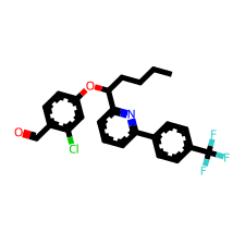 CCCCC(Oc1ccc(C=O)c(Cl)c1)c1cccc(-c2ccc(C(F)(F)F)cc2)n1